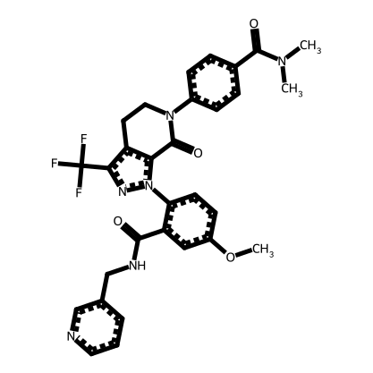 COc1ccc(-n2nc(C(F)(F)F)c3c2C(=O)N(c2ccc(C(=O)N(C)C)cc2)CC3)c(C(=O)NCc2cccnc2)c1